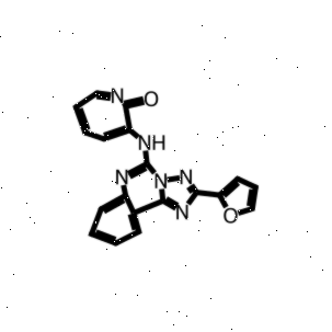 O=c1nccccc1Nc1nc2ccccc2c2nc(-c3ccco3)nn12